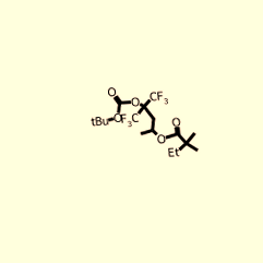 CCC(C)(C)C(=O)OC(C)CC(OC(=O)OC(C)(C)C)(C(F)(F)F)C(F)(F)F